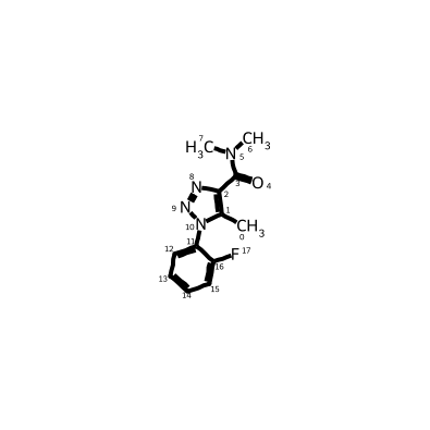 Cc1c(C(=O)N(C)C)nnn1-c1ccccc1F